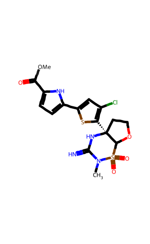 COC(=O)c1ccc(-c2cc(Cl)c([C@]34CCOC3S(=O)(=O)N(C)C(=N)N4)s2)[nH]1